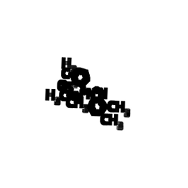 Cc1cccc2c1[S+]([O-])C(C)(C)N=C2n1cnc2c(C)c(C)ccc21